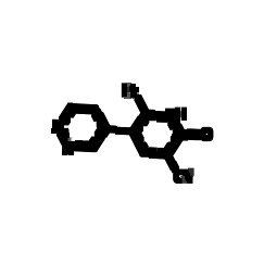 CCc1[nH]c(=O)c(C#N)cc1-c1ccnnc1